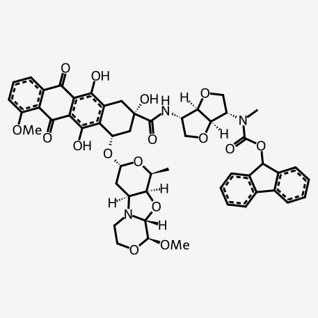 COc1cccc2c1C(=O)c1c(O)c3c(c(O)c1C2=O)C[C@@](O)(C(=O)N[C@H]1CO[C@H]2[C@@H]1OC[C@@H]2N(C)C(=O)OC1c2ccccc2-c2ccccc21)C[C@@H]3O[C@H]1C[C@H]2[C@H](O[C@@H]3[C@@H](OC)OCCN32)[C@H](C)O1